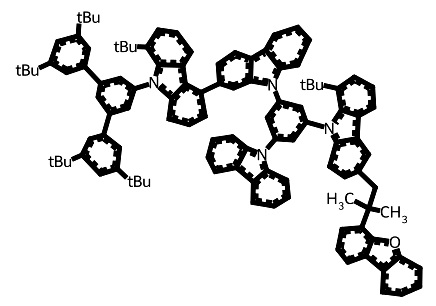 CC(C)(C)c1cc(-c2cc(-c3cc(C(C)(C)C)cc(C(C)(C)C)c3)cc(-n3c4cccc(-c5ccc6c7ccccc7n(-c7cc(-n8c9ccccc9c9ccccc98)cc(-n8c9ccc(CC(C)(C)c%10cccc%11c%10oc%10ccccc%10%11)cc9c9cccc(C(C)(C)C)c98)c7)c6c5)c4c4cccc(C(C)(C)C)c43)c2)cc(C(C)(C)C)c1